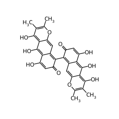 Cc1oc2cc3c(-c4c(=O)cc(O)c5c(O)c6c(O)c(C)c(C)oc6cc45)c(=O)cc(O)c3c(O)c2c(O)c1C